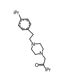 CC(C)C(=O)CN1CCN(CCc2ccc(C(C)C)cc2)CC1